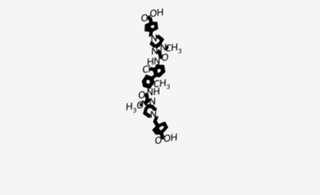 Cc1c(NC(=O)c2nc3c(n2C)CCN(CCC24CCC(C(=O)O)(CC2)C4)C3)cccc1-c1cccc(NC(=O)c2nc3c(n2C)CCN(CC24CCC(C(=O)O)(CC2)C4)C3)c1Cl